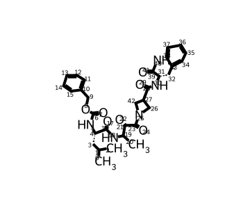 CC(C)C[C@H](NC(=O)OCc1ccccc1)C(=O)NC(C)C(=O)C(=O)N1CC(C(=O)N[C@@H](Cc2ccccc2)C(N)=O)C1